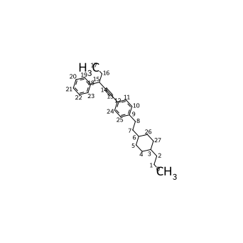 CCCC1CCC(CCc2ccc(C#CC(CC)c3ccccc3)cc2)CC1